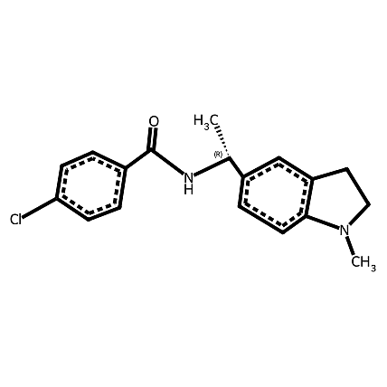 C[C@@H](NC(=O)c1ccc(Cl)cc1)c1ccc2c(c1)CCN2C